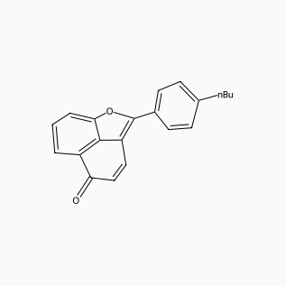 CCCCc1ccc(-c2oc3cccc4c3c2C=CC4=O)cc1